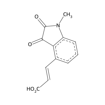 CN1C(=O)C(=O)c2c(C=CC(=O)O)cccc21